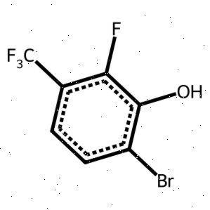 Oc1c(Br)ccc(C(F)(F)F)c1F